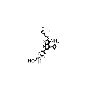 COCCSc1sc2nc(-c3cnc(NCCO)nc3)cc(C3CCC3)c2c1N